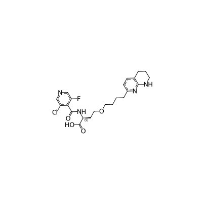 O=C(N[C@@H](CCOCCCCc1ccc2c(n1)NCCC2)C(=O)O)c1c(F)cncc1Cl